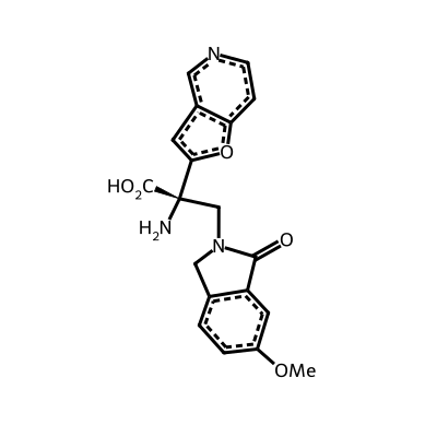 COc1ccc2c(c1)C(=O)N(C[C@@](N)(C(=O)O)c1cc3cnccc3o1)C2